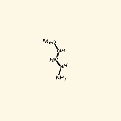 CONNNN